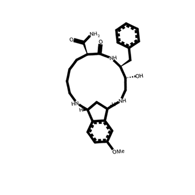 COc1ccc2c(c1)[C@@H]1C[C@H]2NCCCC[C@@H](C(N)=O)C(=O)N[C@@H](Cc2ccccc2)[C@H](O)CN1